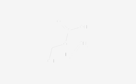 C=C.CCOS(=O)O